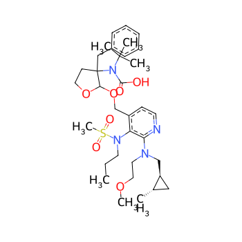 CCCN(c1c(COC2OCCC2(Cc2ccccc2)N(C(=O)O)C(C)(C)C)ccnc1N(CCOC)C[C@H]1C[C@@H]1C)S(C)(=O)=O